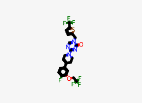 O=c1nc(N2CC=C(c3ccc(F)c(OCC(F)(F)F)c3)CC2)ncn1Cc1ccc(C(F)(F)F)s1